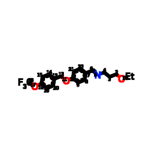 CCOCCCN=Cc1ccc(OCc2ccc(OC(F)(F)F)cc2)cc1